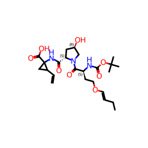 C=CC1CC1(NC(=O)[C@@H]1C[C@@H](O)CN1C(=O)[C@H](CCOC=CCC)NC(=O)OC(C)(C)C)C(=O)O